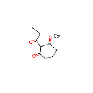 CCC(=O)C1C(=O)CCCC1=O.[Ca]